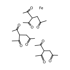 CC(=O)CC(C(C)=O)C(C)=O.CC(=O)CC(C(C)=O)C(C)=O.CC(=O)CC(C(C)=O)C(C)=O.[Fe]